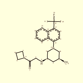 C[C@H]1C[C@@H](NCC(=O)N2CCC2)CN(c2ccc(C(F)(F)I)c3ncccc23)C1